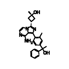 Cc1cc(C(C)(O)c2ccccc2)ccc1-c1nc([C@H]2C[C@@](C)(O)C2)n2ccnc(N)c12